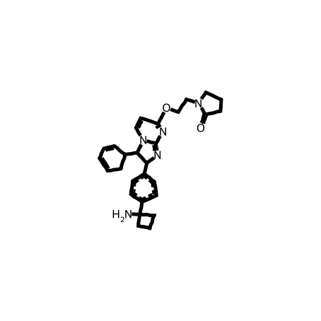 NC1(c2ccc(C3N=C4N=C(OCCN5CCCC5=O)C=CN4C3C3C=CC=CC3)cc2)CCC1